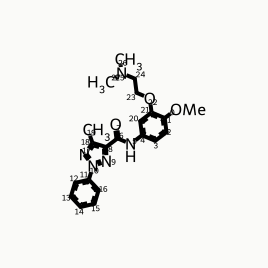 COc1ccc(NC(=O)c2nn(-c3ccccc3)nc2C)cc1OCCN(C)C